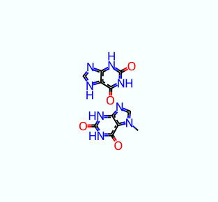 Cn1cnc2[nH]c(=O)[nH]c(=O)c21.O=c1[nH]c(=O)c2[nH]cnc2[nH]1